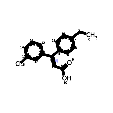 CCc1ccc(/C(=C\C(=O)O)c2cccc(Cl)c2)cc1